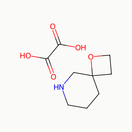 C1CNCC2(C1)CCO2.O=C(O)C(=O)O